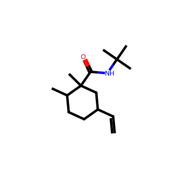 C=CC1CCC(C)C(C)(C(=O)NC(C)(C)C)C1